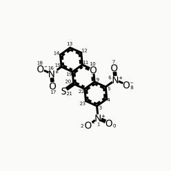 O=[N+]([O-])c1cc([N+](=O)[O-])c2oc3cccc([N+](=O)[O-])c3c(=S)c2c1